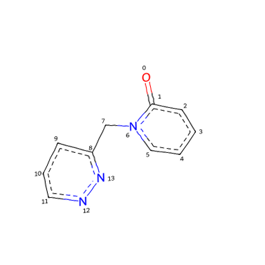 O=c1ccccn1Cc1cccnn1